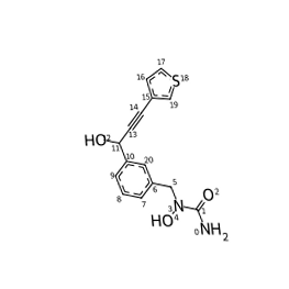 NC(=O)N(O)Cc1cccc(C(O)C#Cc2ccsc2)c1